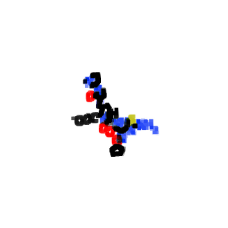 C[n+]1cccc(N2C=C/C(=C\C3=C(C(=O)[O-])N4C(=O)[C@@H](NC(=O)/C(=N\OC5CCCC5)c5csc(N)n5)[C@H]4CC3)C2=O)c1